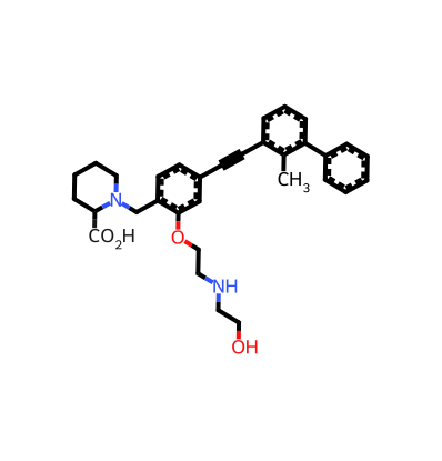 Cc1c(C#Cc2ccc(CN3CCCCC3C(=O)O)c(OCCNCCO)c2)cccc1-c1ccccc1